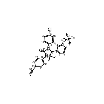 CC1(C)C(c2cccc(OC(F)(F)F)c2)N(c2ccc(Cl)cc2)C(=O)N1c1ccc(C#N)cc1